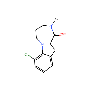 CCN1CCCN2c3c(Cl)cccc3CC2C1=O